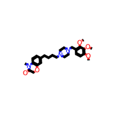 COc1ccc(CN2CCN(CCCCc3ccc4c(c3)OCC(=O)N4C)CC2)c(OC)c1OC